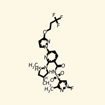 Cc1nn(F)cc1S(=O)(=O)NC(=O)c1ccc(-n2ccc(OCCC(F)(F)F)n2)nc1N1C[C@@H](C)C[SH]1C